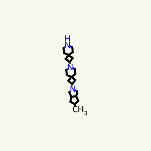 CC1CC2CN(C3CC4(CCN(C5CC6(CCNCC6)C5)CC4)C3)CC2C1